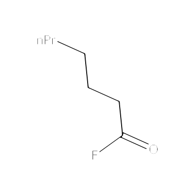 CCCCCCC(=O)F